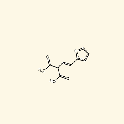 CC(=O)C(C=Cc1ccco1)C(=O)O